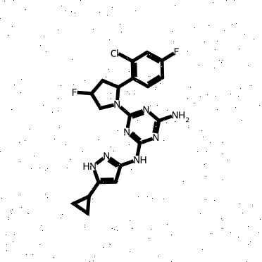 Nc1nc(Nc2cc(C3CC3)[nH]n2)nc(N2CC(F)CC2c2ccc(F)cc2Cl)n1